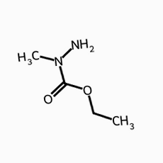 CCOC(=O)N(C)N